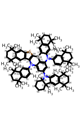 CC1(C)CCC(C)(C)c2cc(N3c4cc5c(cc4B4c6sc7cc8c(cc7c6N(c6ccc7c(c6)C(C)(C)CCC7(C)C)c6cc(N7c9cc%10c(cc9C9(C)CCCCC79C)C(C)(C)CCC%10(C)C)cc3c64)C(C)(C)CCC8(C)C)C(C)(C)CCC5(C)C)ccc21